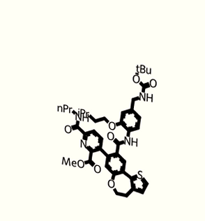 CCCNC(=O)c1ccc(-c2cc3c(cc2C(=O)Nc2ccc(CNC(=O)OC(C)(C)C)cc2OCCC(C)C)-c2sccc2CCO3)c(C(=O)OC)n1